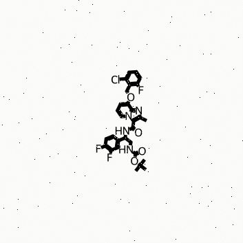 Cc1nc2c(OCc3c(F)cccc3Cl)cccn2c1C(=O)NC(CNC(=O)OC(C)(C)C)c1ccc(F)c(F)c1